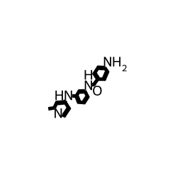 Cc1cc(Nc2cccc(NC(=O)c3ccc(N)cc3)c2)ccn1